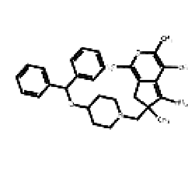 CC1=C(C)C2=C(N)C(C)(CN3CCC(OC(c4ccccc4)c4ccccc4)CC3)CC2=C(C)O1